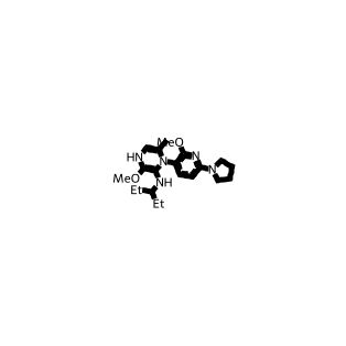 CCC(CC)NC1=C(OC)NC=C(C)N1c1ccc(N2CCCC2)nc1OC